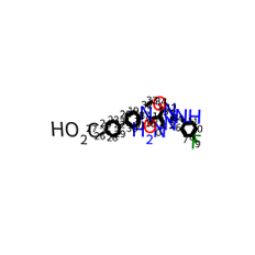 Nc1nc(Nc2ccc(F)cc2)nc2c1C(=O)N(c1ccc([C@H]3CC[C@H](CC(=O)O)CC3)cc1)CCO2